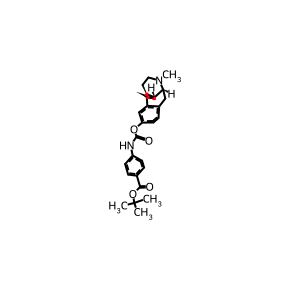 CN1CC[C@]23CCCC[C@H]2[C@H]1Cc1ccc(OC(=O)Nc2ccc(C(=O)OC(C)(C)C)cc2)cc13